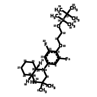 CC1(C)CN(c2cc(F)c(OCCO[Si](C)(C)C(C)(C)C)c(F)c2)[C@H]2CCCC[C@H]2N1